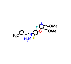 COc1cc2nccc(Oc3cc4c(cc3F)N(CCc3cccc(C(F)(F)F)c3)C(N)S4)c2cc1OC